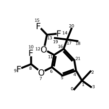 CC(C)(C)c1cc(OC(F)F)c(OC(F)F)c(C(C)(C)C)c1